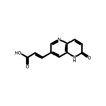 O=C(O)C=Cc1cnc2ccc(=O)[nH]c2c1